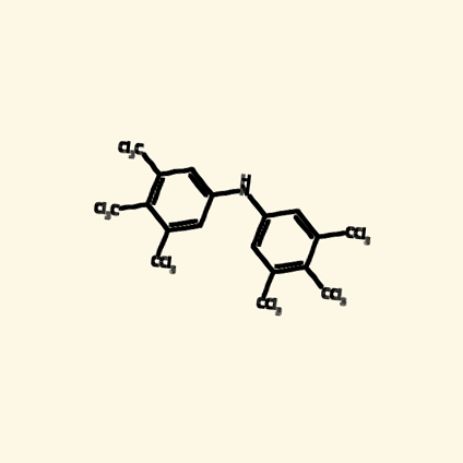 ClC(Cl)(Cl)c1cc(Nc2cc(C(Cl)(Cl)Cl)c(C(Cl)(Cl)Cl)c(C(Cl)(Cl)Cl)c2)cc(C(Cl)(Cl)Cl)c1C(Cl)(Cl)Cl